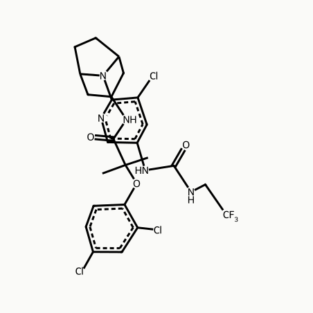 CC(C)(Oc1ccc(Cl)cc1Cl)C(=O)NC1CC2CCC(C1)N2c1ncc(NC(=O)NCC(F)(F)F)cc1Cl